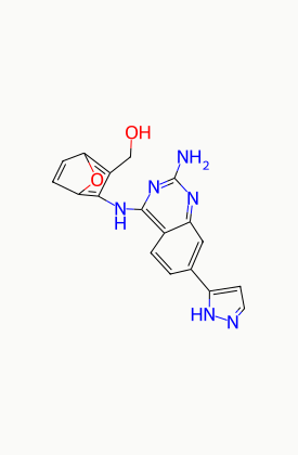 Nc1nc(Nc2c(CO)c3ccc2o3)c2ccc(-c3ccn[nH]3)cc2n1